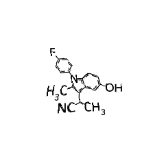 Cc1c(C(C)C#N)c2cc(O)ccc2n1-c1ccc(F)cc1